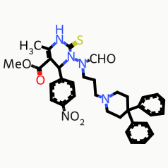 COC(=O)C1=C(C)NC(=S)N(N(C=O)CCCN2CCC(c3ccccc3)(c3ccccc3)CC2)C1c1ccc([N+](=O)[O-])cc1